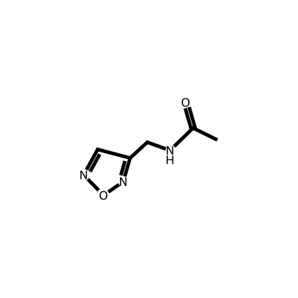 CC(=O)NCc1cnon1